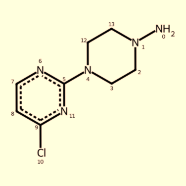 NN1CCN(c2nccc(Cl)n2)CC1